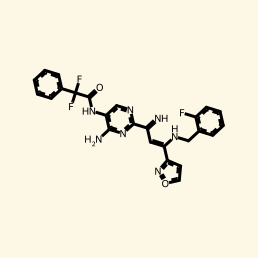 N=C(/C=C(\NCc1ccccc1F)c1ccon1)c1ncc(NC(=O)C(F)(F)c2ccccc2)c(N)n1